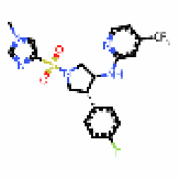 Cn1cnc(S(=O)(=O)N2C[C@@H](Nc3cc(C(F)(F)F)ccn3)[C@H](c3ccc(F)cc3)C2)c1